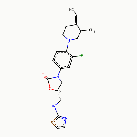 CC1CN(c2ccc(N3C[C@H](CNc4nccs4)OC3=O)cc2F)CCC1=CC#N